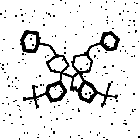 NC(C1(c2cccc(C(F)(F)F)c2)CCN(Cc2ccccc2)CC1)C1(c2cccc(C(F)(F)F)c2)CCN(Cc2ccccc2)CC1